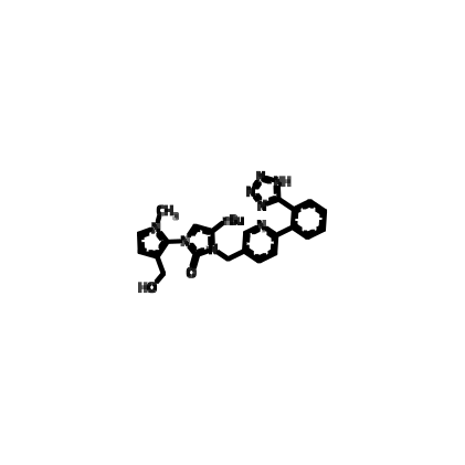 CCCCc1cn(-c2c(CO)ccn2C)c(=O)n1Cc1ccc(-c2ccccc2-c2nnn[nH]2)nc1